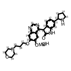 COc1cc2c(C3C(=O)Nc4cc(C5CCCN5)ccc43)ncnc2cc1OCCCN1CCOCC1.Cl